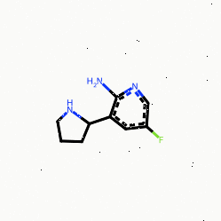 Nc1ncc(F)cc1C1CCCN1